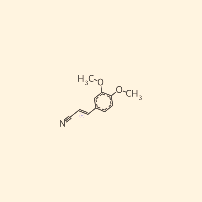 COc1ccc(/C=C/C#N)cc1OC